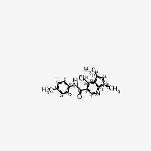 Cc1ccc(NC(=O)c2cnc3c(c(C)cn3C)c2Cl)cc1